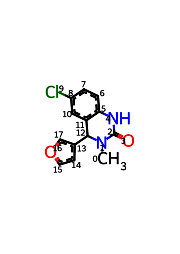 CN1C(=O)Nc2ccc(Cl)cc2C1c1ccoc1